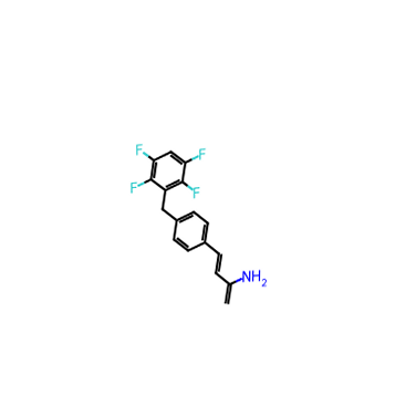 C=C(N)/C=C/c1ccc(Cc2c(F)c(F)cc(F)c2F)cc1